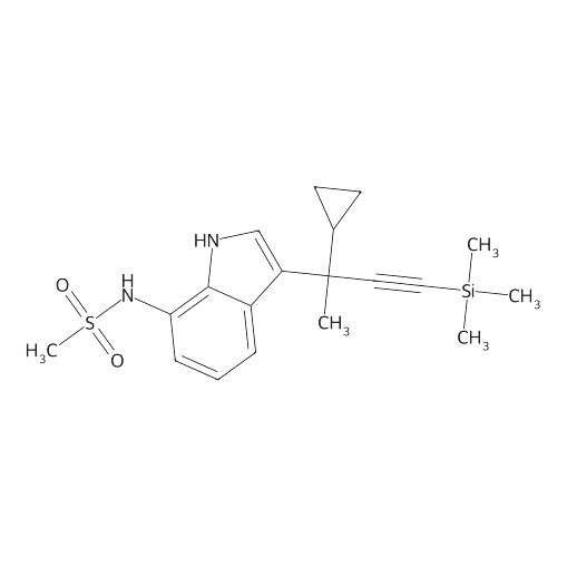 CC(C#C[Si](C)(C)C)(c1c[nH]c2c(NS(C)(=O)=O)cccc12)C1CC1